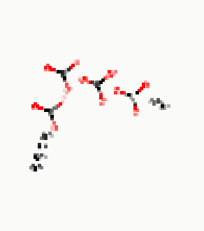 [O-]B([O-])[O-].[O-]B([O-])[O-].[O-]B([O-])[O-].[O-]B([O-])[O-].[Sr+2].[Sr+2].[Sr+2].[Sr+2].[Sr+2].[Sr+2]